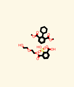 COC(=O)c1cccc(C(=O)OC)c1C1CCCCC1.O=C(O)c1cccc(C(=O)OCCOCCO)c1S(=O)(=O)O